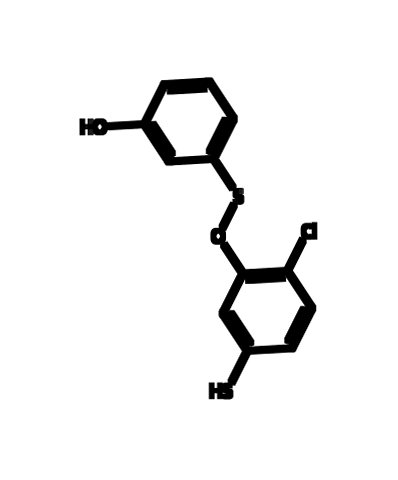 Oc1cccc(SOc2cc(S)ccc2Cl)c1